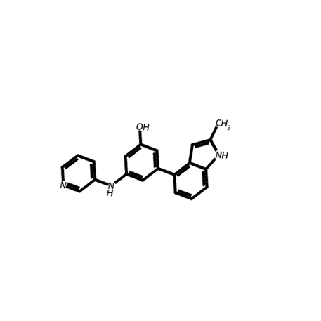 Cc1cc2c(-c3cc(O)cc(Nc4cccnc4)c3)cccc2[nH]1